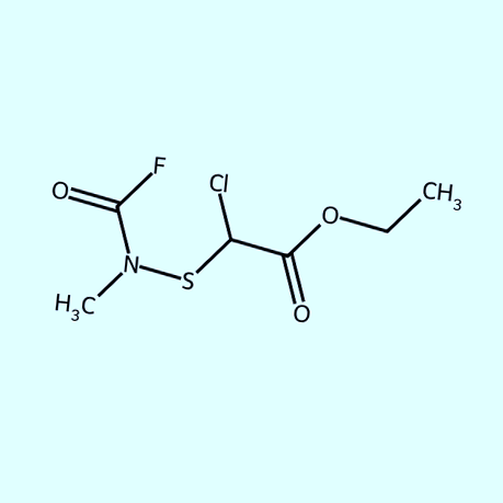 CCOC(=O)C(Cl)SN(C)C(=O)F